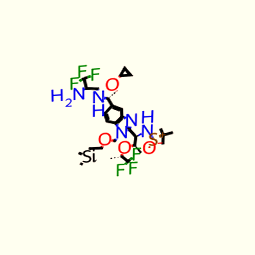 C[C@H](O[C@H](C)[C@H](N[S@+]([O-])C(C)(C)C)c1nc2cc([C@@H](COC3CC3)NC[C@H](N)C(F)(F)F)ccc2n1COCC[Si](C)(C)C)C(F)(F)F